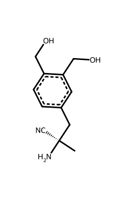 C[C@](N)(C#N)Cc1ccc(CO)c(CO)c1